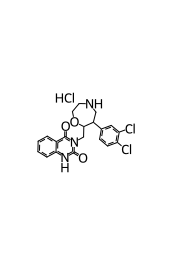 Cl.O=c1[nH]c2ccccc2c(=O)n1CC1OCCNCC1c1ccc(Cl)c(Cl)c1